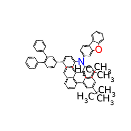 CC(C)(C)c1cc(-c2cccc3cccc(-c4ccccc4N(c4ccc(-c5ccc(-c6ccccc6)c(-c6ccccc6)c5)cc4)c4ccc5c(c4)oc4ccccc45)c23)cc(C(C)(C)C)c1